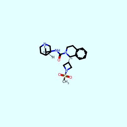 CS(=O)(=O)N1CC([C@H]2c3ccccc3CCN2C(=O)N[C@@H]2CN3CCC2CC3)C1